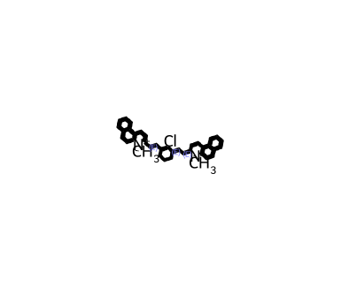 CN1/C(=C/C=C2\CCCC(/C=C/c3ccc4c5ccccc5ccc4[n+]3C)=C2Cl)C=Cc2c1ccc1ccccc21